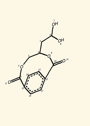 O=C1OCC(CC(O)O)OC(=O)c2ccc1cc2